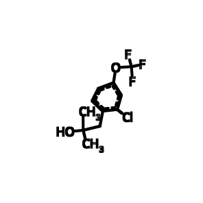 CC(C)(O)Cc1ccc(OC(F)(F)F)cc1Cl